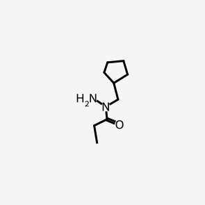 CCC(=O)N(N)CC1CCCC1